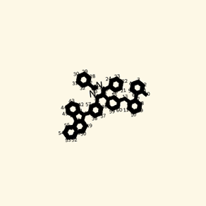 Cc1ccccc1-c1ccccc1CC1=CC(c2c(-c3ccccc3)nc(-c3ccccc3)nc2-c2cccc(C3c4ccccc4-c4c3ccc3ccccc43)c2)CC=C1